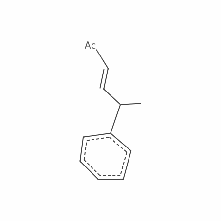 CC(=O)C=CC(C)c1ccccc1